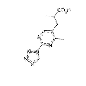 Cc1nc(-n2cnnn2)ncc1CC(C)C(=O)O